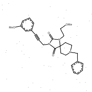 COCCN1C(=O)N(CC#Cc2cccc(OC)c2)C(=O)C12CCN(Cc1ccccc1)CC2